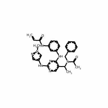 C=CC(=O)Nc1cccc(Nc2nc(Nc3cnn(C)c3)ncc2C(C)N(Cc2ccccc2)C(C)=O)c1